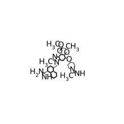 COC(=O)C(C)Oc1cc2nc(C)n(Cc3ccc(C(=N)N)c4ccccc34)c2cc1OC1CCN(C(C)=N)CC1